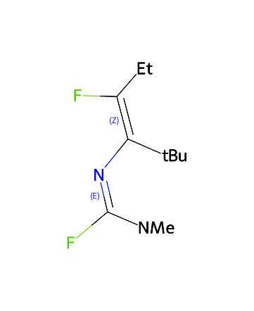 CC/C(F)=C(/N=C(/F)NC)C(C)(C)C